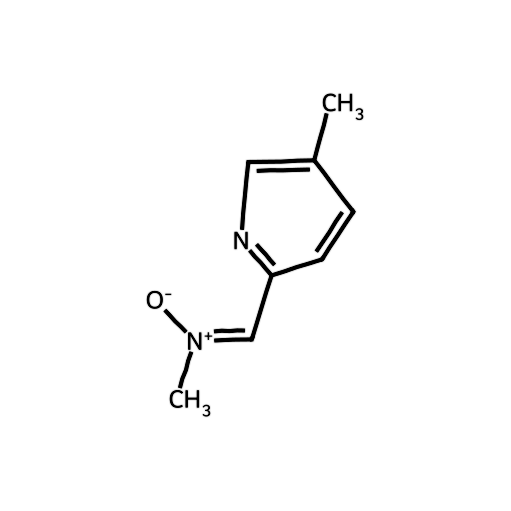 Cc1ccc(/C=[N+](/C)[O-])nc1